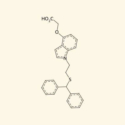 O=C(O)COc1cccc2c1ccn2CCSC(c1ccccc1)c1ccccc1